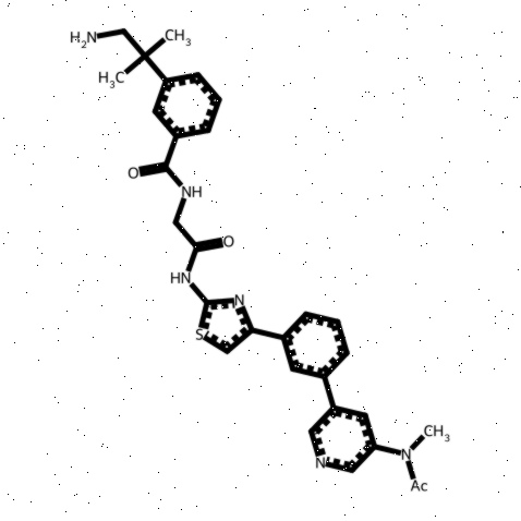 CC(=O)N(C)c1cncc(-c2cccc(-c3csc(NC(=O)CNC(=O)c4cccc(C(C)(C)CN)c4)n3)c2)c1